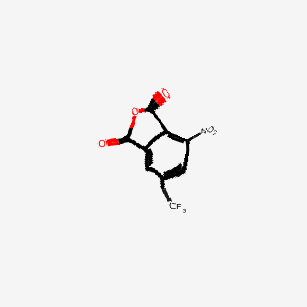 O=C1OC(=O)c2c1cc(C(F)(F)F)cc2[N+](=O)[O-]